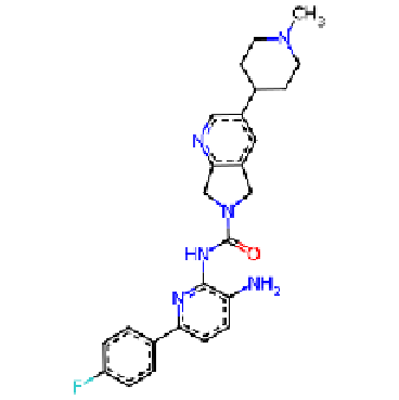 CN1CCC(c2cnc3c(c2)CN(C(=O)Nc2nc(-c4ccc(F)cc4)ccc2N)C3)CC1